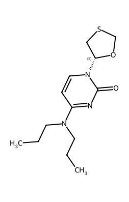 CCCN(CCC)c1ccn([C@@H]2CSCO2)c(=O)n1